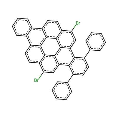 Brc1cc2c3c(-c4ccccc4)ccc(-c4ccccc4)c3c3cc(Br)c4ccc5c6ccccc6c6ccc1c1c6c5c4c3c21